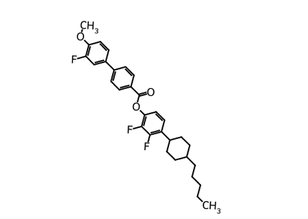 CCCCCC1CCC(c2ccc(OC(=O)c3ccc(-c4ccc(OC)c(F)c4)cc3)c(F)c2F)CC1